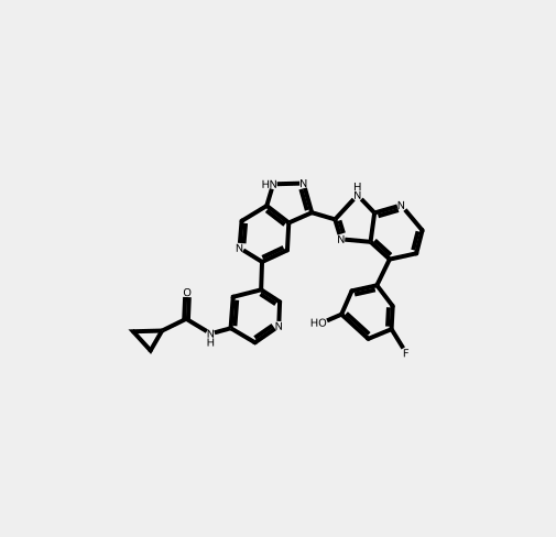 O=C(Nc1cncc(-c2cc3c(-c4nc5c(-c6cc(O)cc(F)c6)ccnc5[nH]4)n[nH]c3cn2)c1)C1CC1